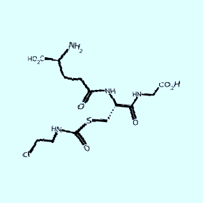 N[C@@H](CCC(=O)N[C@@H](CSC(=O)NCCCl)C(=O)NCC(=O)O)C(=O)O